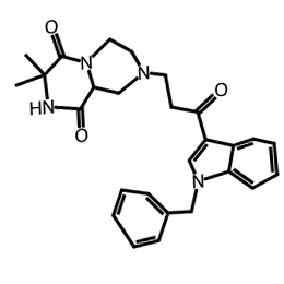 CC1(C)NC(=O)C2CN(CCC(=O)c3cn(Cc4ccccc4)c4ccccc34)CCN2C1=O